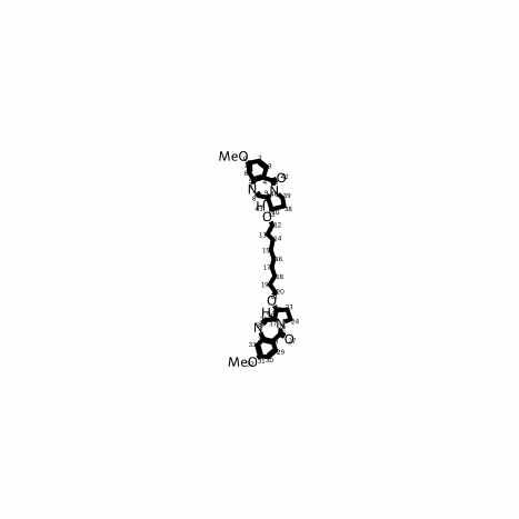 COc1ccc2c(c1)N=C[C@@H]1C(OCCCCCCCCCOC3CCN4C(=O)c5ccc(OC)cc5N=C[C@H]34)CCN1C2=O